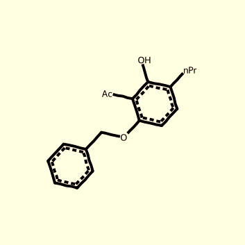 CCCc1ccc(OCc2ccccc2)c(C(C)=O)c1O